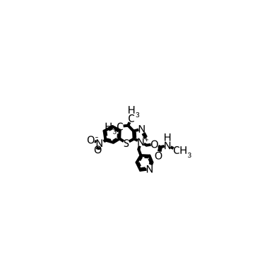 CNC(=O)OC[N+]1(Cc2ccncc2)C=NC(C(C)C)=C1Sc1cccc([N+](=O)[O-])c1